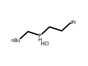 CCCCCPCCC(C)C.Cl